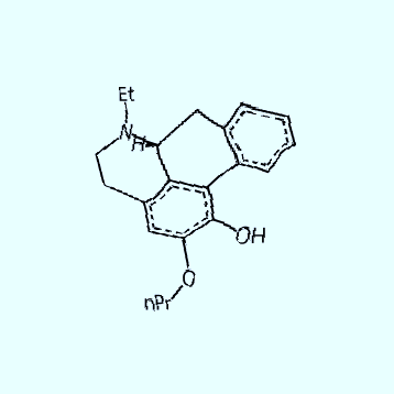 CCCOc1cc2c3c(c1O)-c1ccccc1C[C@H]3N(CC)CC2